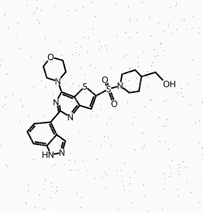 O=S(=O)(c1cc2nc(-c3cccc4[nH]ncc34)nc(N3CCOCC3)c2s1)N1CCC(CO)CC1